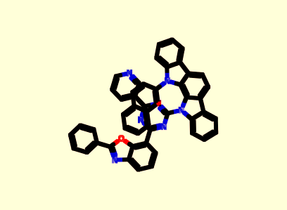 c1ccc(-c2nc3cccc(-c4nc(-c5cccnc5)nc(-n5c6ccccc6c6ccc7c8ccccc8n(-c8ccc9ccccc9c8)c7c65)n4)c3o2)cc1